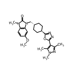 COc1ccc2c(c1)n(C[C@H]1CC[C@H](c3nnc(-c4c(C)nn(C)c4C)o3)CC1)c(=O)n2C